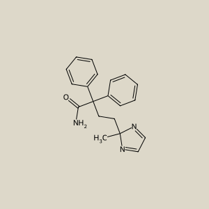 CC1(CCC(C(N)=O)(c2ccccc2)c2ccccc2)N=CC=N1